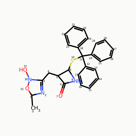 CC1N=C(CC2C(=O)NC2SC(c2ccccc2)(c2ccccc2)c2ccccc2)N(O)O1